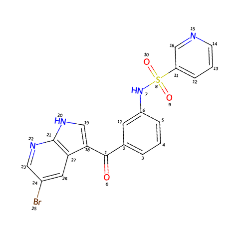 O=C(c1cccc(NS(=O)(=O)c2cccnc2)c1)c1c[nH]c2ncc(Br)cc12